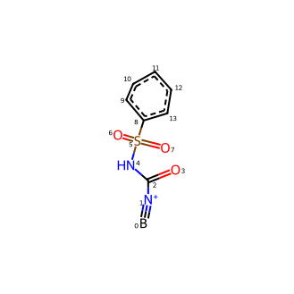 B#[N+]C(=O)NS(=O)(=O)c1ccccc1